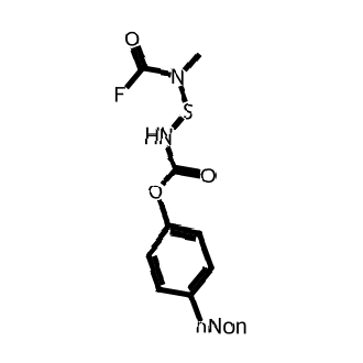 CCCCCCCCCc1ccc(OC(=O)NSN(C)C(=O)F)cc1